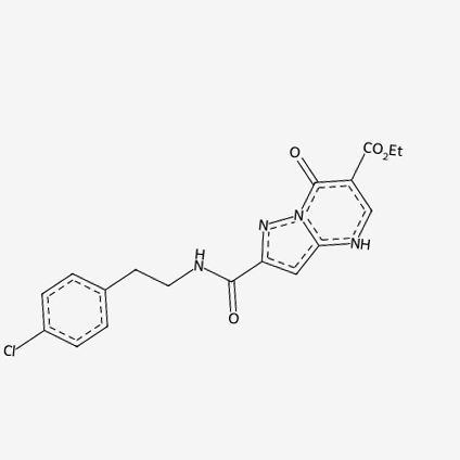 CCOC(=O)c1c[nH]c2cc(C(=O)NCCc3ccc(Cl)cc3)nn2c1=O